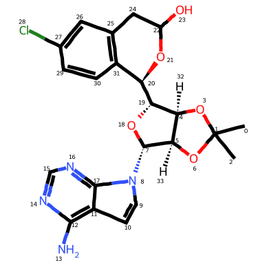 CC1(C)O[C@H]2[C@@H](O1)[C@H](n1ccc3c(N)ncnc31)O[C@@H]2[C@@H]1OC(O)Cc2cc(Cl)ccc21